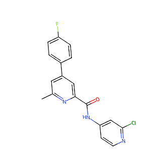 Cc1cc(-c2ccc(F)cc2)cc(C(=O)Nc2ccnc(Cl)c2)n1